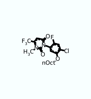 CCCCCCCCOc1cc(-n2c(=O)cc(C(F)(F)F)n(C)c2=O)c(F)cc1Cl